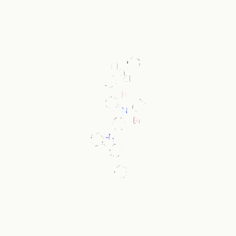 Cl[Si](Cl)(c1ccccc1)c1cccc(-c2ccc3c4cc(-n5c6ccccc6c6cc(-c7ccccc7)ccc65)ccc4n(-c4ccccc4Br)c3c2Br)c1